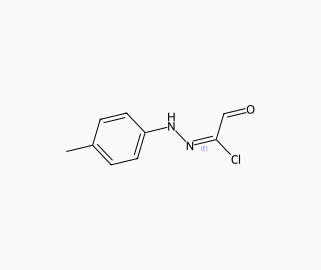 Cc1ccc(N/N=C(/Cl)C=O)cc1